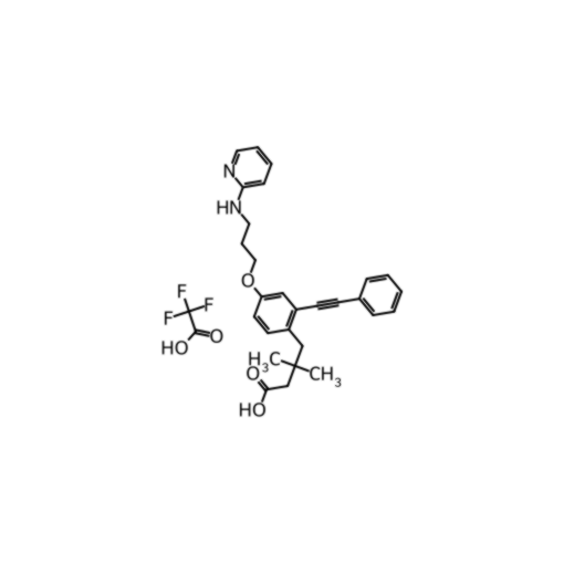 CC(C)(CC(=O)O)Cc1ccc(OCCCNc2ccccn2)cc1C#Cc1ccccc1.O=C(O)C(F)(F)F